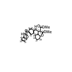 COC(=O)C(C(=O)OC)C(Nc1ccc(S(=O)(=O)Nc2nccs2)cc1)C1CCCCC1